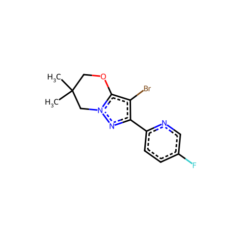 CC1(C)COc2c(Br)c(-c3ccc(F)cn3)nn2C1